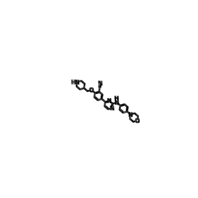 N#Cc1cc(-c2ccnc(Nc3ccc(N4CCOCC4)cc3)n2)ccc1OCC1CCNCC1